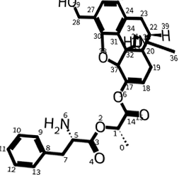 C[C@H](OC(=O)[C@@H](N)Cc1ccccc1)C(=O)OC1=CC[C@@]2(O)[C@H]3Cc4ccc(CO)c5c4C2(CCN3C)C1O5